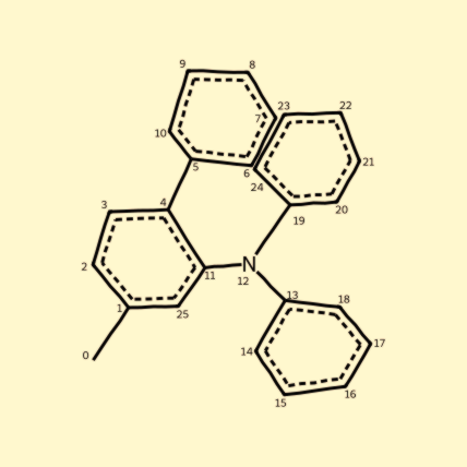 Cc1ccc(-c2ccccc2)c(N(c2ccccc2)c2ccccc2)c1